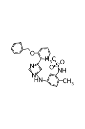 Cc1ccc(Nc2cc(-c3ccccc3OCc3ccccc3)ncn2)cc1NS(C)(=O)=O